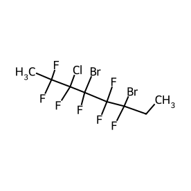 CCC(F)(Br)C(F)(F)C(F)(Br)C(F)(Cl)C(C)(F)F